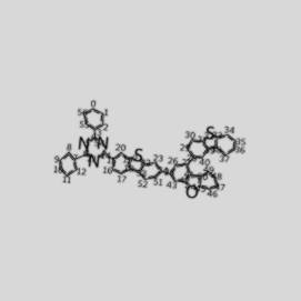 c1ccc(-c2nc(-c3ccccc3)nc(-c3ccc4c(c3)sc3cc(-c5cc(-c6ccc7sc8ccccc8c7c6)c6c(c5)oc5ccccc56)ccc34)n2)cc1